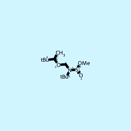 COS(=O)N(COC(C)C(C)(C)C)C(C)(C)C